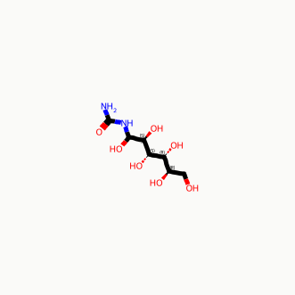 NC(=O)NC(O)[C@@H](O)[C@@H](O)[C@H](O)[C@H](O)CO